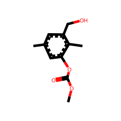 COC(=O)Oc1cc(C)cc(CO)c1C